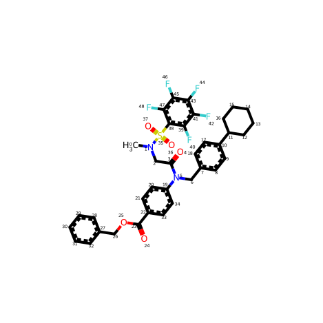 CN(CC(=O)N(Cc1ccc(C2CCCCC2)cc1)c1ccc(C(=O)OCc2ccccc2)cc1)S(=O)(=O)c1c(F)c(F)c(F)c(F)c1F